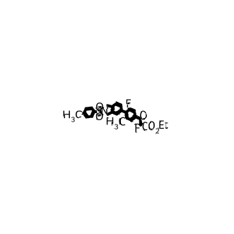 CCOC(=O)C(F)C(=O)c1cc(C)c(-c2ccc3c(c2)CN(S(=O)(=O)c2ccc(C)cc2)C3)c(F)c1